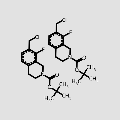 CC(C)(C)OC(=O)N1CCc2ccc(CCl)c(F)c2C1.CC(C)(C)OC(=O)N1CCc2ccc(CCl)c(F)c2C1